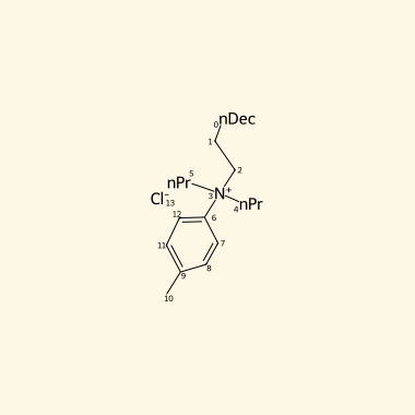 CCCCCCCCCCCC[N+](CCC)(CCC)c1ccc(C)cc1.[Cl-]